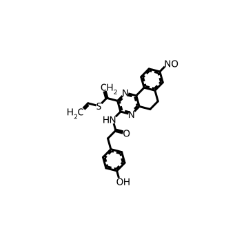 C=CSC(=C)c1nc2c(nc1NC(=O)Cc1ccc(O)cc1)CCc1cc(N=O)ccc1-2